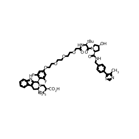 Cc1ncsc1-c1ccc(CNC(=O)[C@@H]2C[C@@H](O)CN2C(=O)[C@@H](NC(=O)COCCOCCOCCOc2cc(F)c([C@@H]3c4[nH]c5ccccc5c4C[C@@H](C)N3C[C@H](C)C(=O)O)c(F)c2)C(C)(C)C)cc1